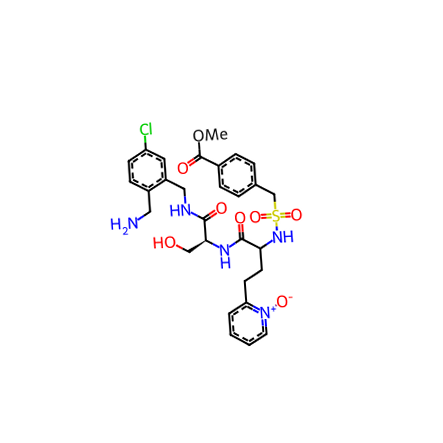 COC(=O)c1ccc(CS(=O)(=O)NC(CCc2cccc[n+]2[O-])C(=O)N[C@@H](CO)C(=O)NCc2cc(Cl)ccc2CN)cc1